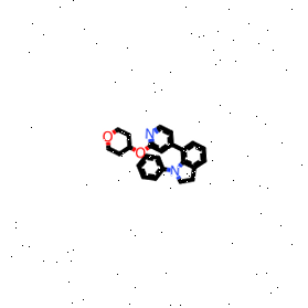 c1ccc(N2CCc3cccc(-c4ccnc(OC5CCOCC5)c4)c32)cc1